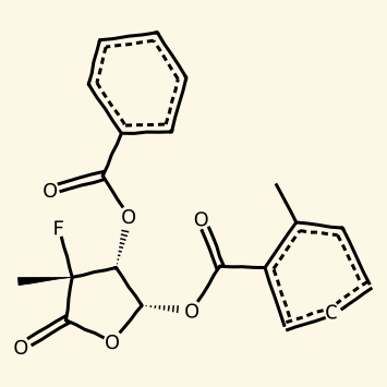 Cc1ccccc1C(=O)O[C@@H]1OC(=O)[C@](C)(F)[C@@H]1OC(=O)c1ccccc1